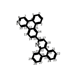 c1ccc2c(c1)c1ccncc1c1ccc(-c3ccc4c5ccccc5c5ccccc5c4n3)cc21